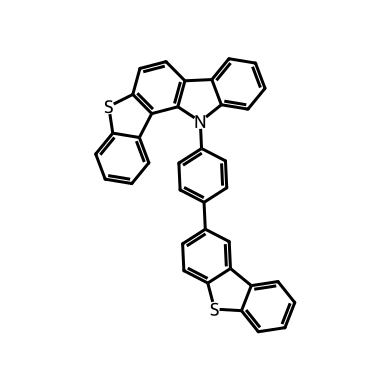 c1ccc2c(c1)sc1ccc(-c3ccc(-n4c5ccccc5c5ccc6sc7ccccc7c6c54)cc3)cc12